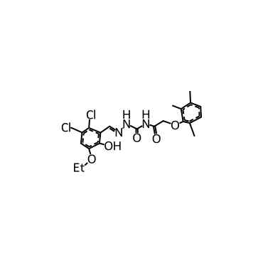 CCOc1cc(Cl)c(Cl)c(/C=N/NC(=O)NC(=O)COc2c(C)ccc(C)c2C)c1O